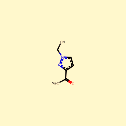 COC(=O)c1ccn(CC#N)n1